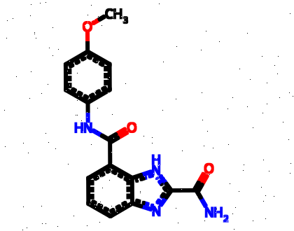 COc1ccc(NC(=O)c2cccc3nc(C(N)=O)[nH]c23)cc1